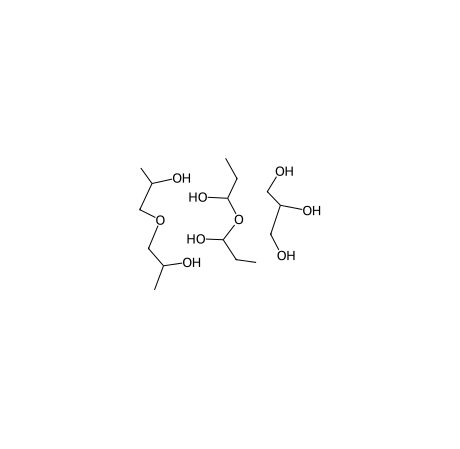 CC(O)COCC(C)O.CCC(O)OC(O)CC.OCC(O)CO